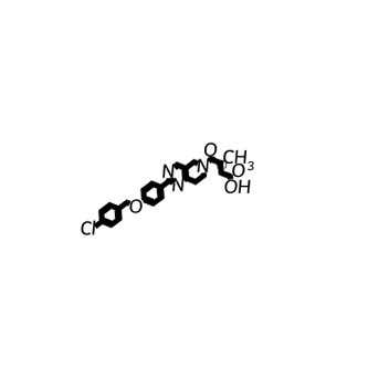 C[C@H](CC(=O)O)C(=O)N1CCc2nc(-c3ccc(OCc4ccc(Cl)cc4)cc3)ncc2C1